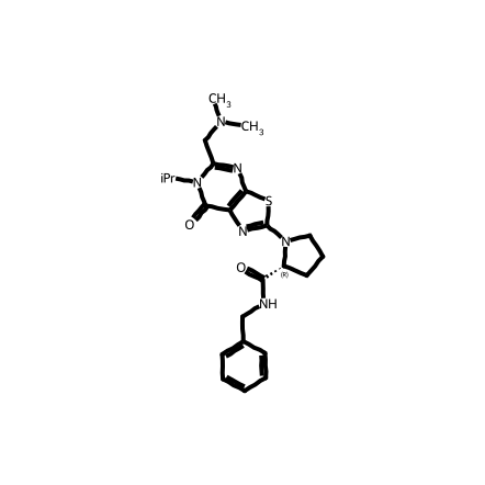 CC(C)n1c(CN(C)C)nc2sc(N3CCC[C@@H]3C(=O)NCc3ccccc3)nc2c1=O